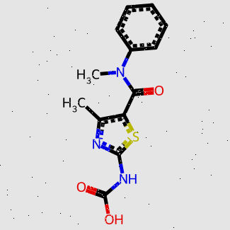 Cc1nc(NC(=O)O)sc1C(=O)N(C)c1ccccc1